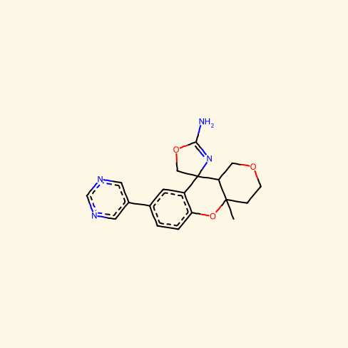 CC12CCOCC1C1(COC(N)=N1)c1cc(-c3cncnc3)ccc1O2